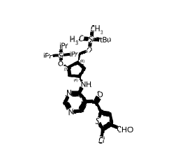 CC(C)[Si](O[C@H]1C[C@H](Nc2ncncc2C(=O)c2cc(C=O)c(Cl)s2)C[C@@H]1CO[Si](C)(C)C(C)(C)C)(C(C)C)C(C)C